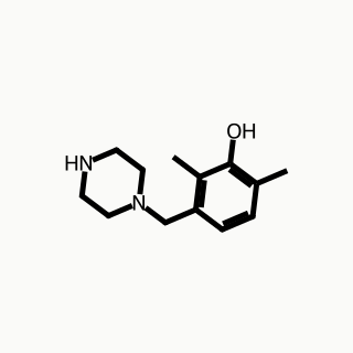 Cc1ccc(CN2CCNCC2)c(C)c1O